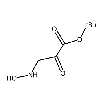 CC(C)(C)OC(=O)C(=O)CNO